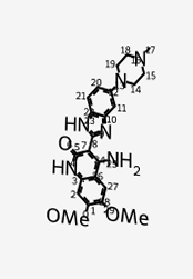 COc1cc2[nH]c(=O)c(-c3nc4cc(N5CCN(C)CC5)ccc4[nH]3)c(N)c2cc1OC